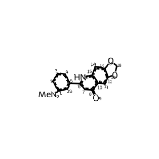 CNc1cccc(-c2cc(=O)c3cc4c(cc3[nH]2)OCO4)c1